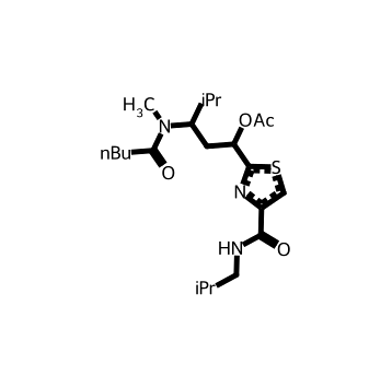 CCCCC(=O)N(C)C(CC(OC(C)=O)c1nc(C(=O)NCC(C)C)cs1)C(C)C